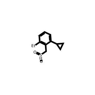 CCc1[c]ccc(C2CC2)c1C[SH](=O)=O